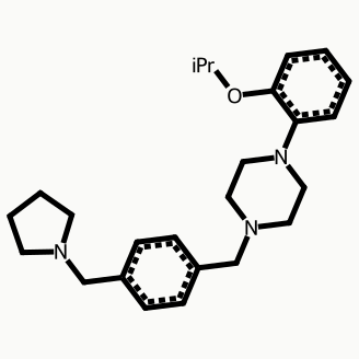 CC(C)Oc1ccccc1N1CCN(Cc2ccc(CN3CCCC3)cc2)CC1